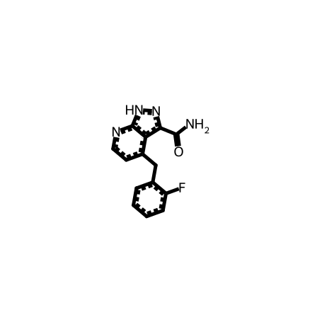 NC(=O)c1n[nH]c2nccc(Cc3ccccc3F)c12